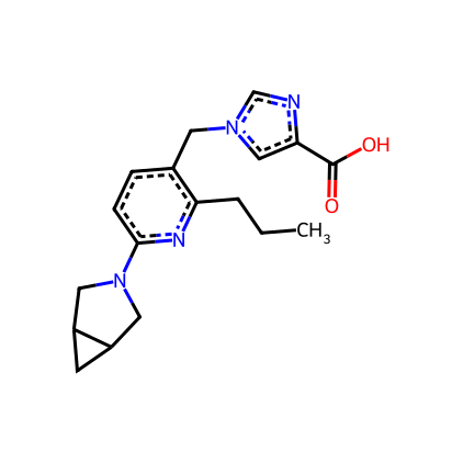 CCCc1nc(N2CC3CC3C2)ccc1Cn1cnc(C(=O)O)c1